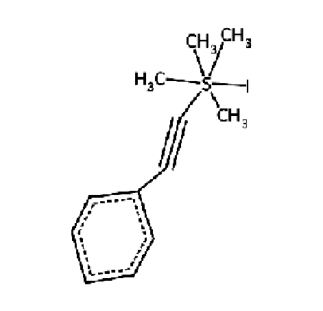 CS(C)(C)(C)(I)C#Cc1ccccc1